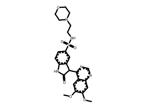 COc1cc2ncnc(C3C(=O)Nc4ccc(S(=O)(=O)NCCN5CCOCC5)cc43)c2cc1OC